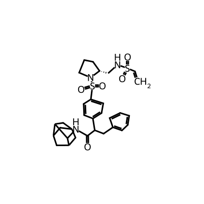 C=CS(=O)(=O)NC[C@H]1CCCN1S(=O)(=O)c1ccc(C(Cc2ccccc2)C(=O)NC2C3CC4CC(C3)C2C4)cc1